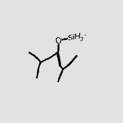 CC(C)C(O[SiH2])C(C)C